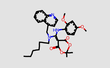 CCCCCCN(Cc1ccnc2ccccc12)C(Nc1ccc(OC)cc1OC)=C1C(=O)OC(C)(C)OC1=O